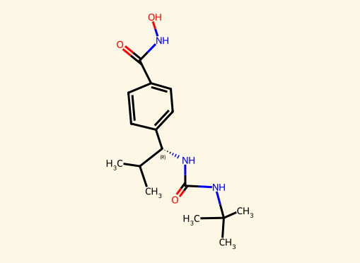 CC(C)[C@@H](NC(=O)NC(C)(C)C)c1ccc(C(=O)NO)cc1